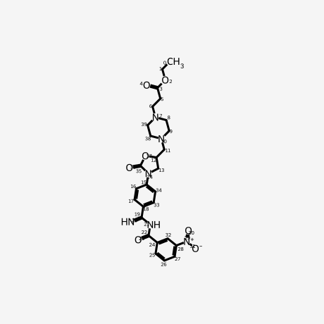 CCOC(=O)CCN1CCN(CC2CN(c3ccc(C(=N)NC(=O)c4cccc([N+](=O)[O-])c4)cc3)C(=O)O2)CC1